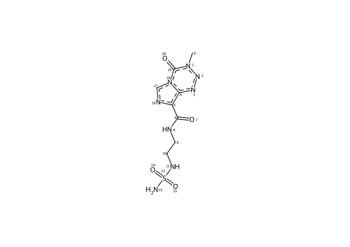 Cn1nnc2c(C(=O)NCCNS(N)(=O)=O)ncn2c1=O